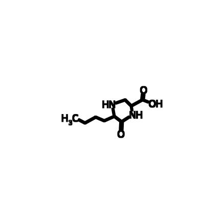 CCCCC1NCC(C(=O)O)NC1=O